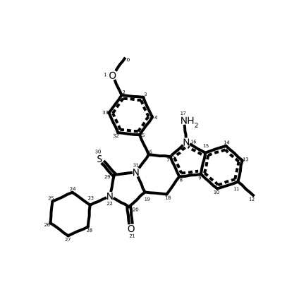 COc1ccc(C2c3c(c4cc(C)ccc4n3N)CC3C(=O)N(C4CCCCC4)C(=S)N32)cc1